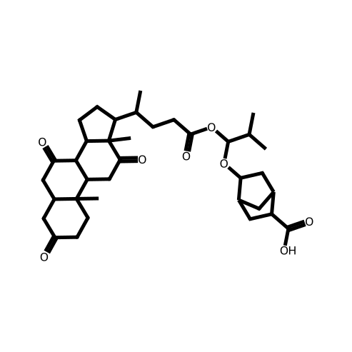 CC(C)C(OC(=O)CCC(C)C1CCC2C3C(=O)CC4CC(=O)CCC4(C)C3CC(=O)C12C)OC1CC2CC1CC2C(=O)O